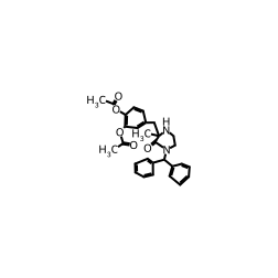 CC(=O)Oc1ccc(CC2(C)NCCN(C(c3ccccc3)c3ccccc3)C2=O)cc1OC(C)=O